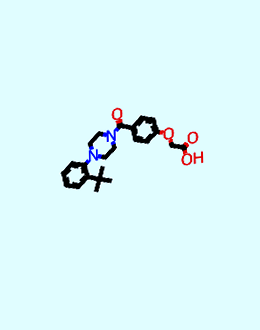 CC(C)(C)c1ccccc1N1CCN(C(=O)c2ccc(OCC(=O)O)cc2)CC1